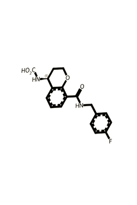 O=C(O)N[C@H]1CCOc2c(C(=O)NCc3ccc(F)cc3)cccc21